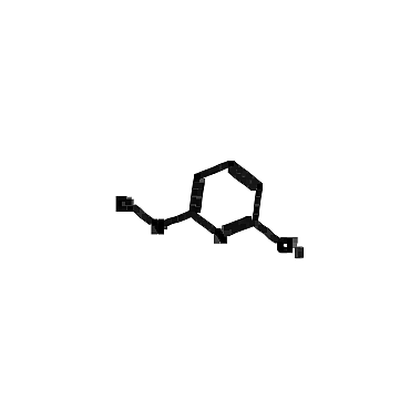 CC[N]c1cccc(C(F)(F)F)n1